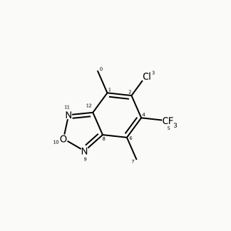 Cc1c(Cl)c(C(F)(F)F)c(C)c2nonc12